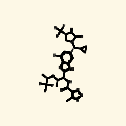 Cc1nonc1C(=O)N[C@H](c1nc2c(F)cc([C@@H](C3CC3)N3C[C@@H](C(F)(F)F)NC3=O)cc2[nH]1)[C@@H](C)O[C@H](C)C(F)(F)F